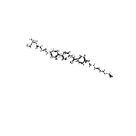 C=CCCCCCCCCc1ccc(C(=O)Oc2cnc(-c3ccc(OCCCCCC(C)CC)cc3)cn2)cc1